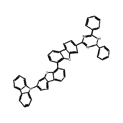 c1ccc(C2=NC(c3ccc4c(c3)oc3c(-c5cccc6c5sc5cc(-n7c8ccccc8c8ccccc87)ccc56)cccc34)=NC(c3ccccc3)N2)cc1